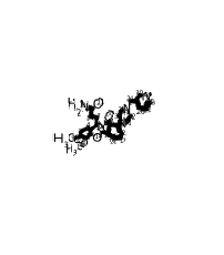 COc1ccc(C(CCC(N)=O)N2C(=O)c3cccc(N4CCN(Cc5cccnc5)CC4)c3C2=O)cc1OC